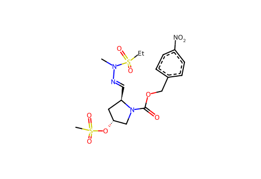 CCS(=O)(=O)N(C)N=C[C@@H]1C[C@@H](OS(C)(=O)=O)CN1C(=O)OCc1ccc([N+](=O)[O-])cc1